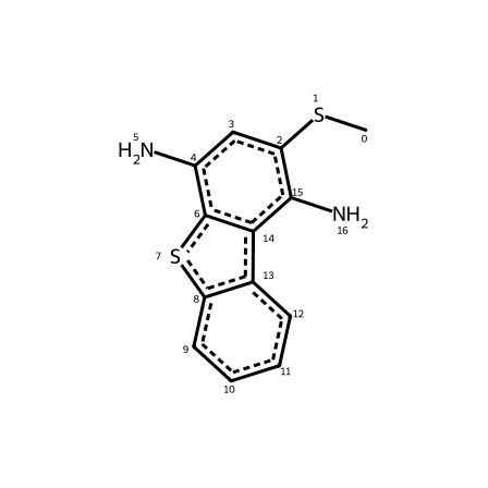 CSc1cc(N)c2sc3ccccc3c2c1N